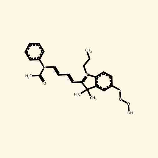 CCC[N+]1=C(/C=C/C=C/N(C(C)=O)c2ccccc2)C(C)(C)c2cc(SOOO)ccc21